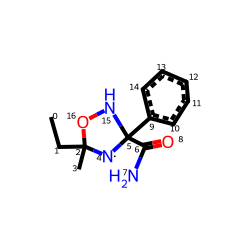 CCC1(C)[N]C(C(N)=O)(c2ccccc2)NO1